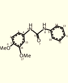 COc1ccc(NC(=O)Nc2ccccc2)cc1OC